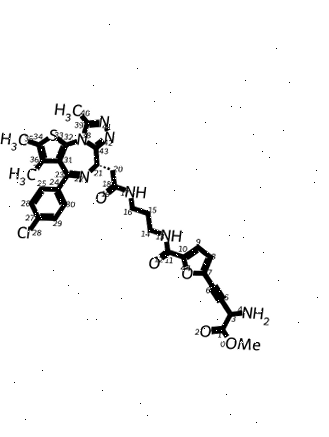 COC(=O)C(N)C#Cc1ccc(C(=O)NCCCNC(=O)C[C@@H]2N=C(c3ccc(Cl)cc3)c3c(sc(C)c3C)-n3c(C)nnc32)o1